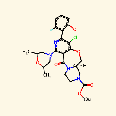 CC1CN(c2nc(-c3c(O)cccc3F)c(Cl)c3c2C(=O)N2CCN(C(=O)OC(C)(C)C)C[C@@H]2CO3)CC(C)O1